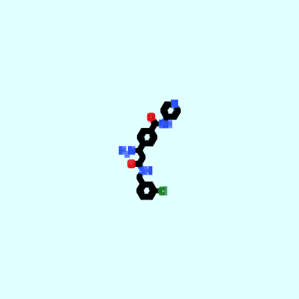 NC(CC(=O)NCc1cccc(Cl)c1)c1ccc(C(=O)Nc2ccncc2)cc1